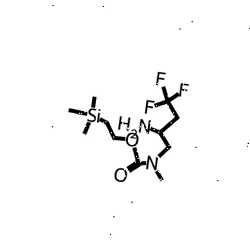 CN(CC(N)CC(F)(F)F)C(=O)OCC[Si](C)(C)C